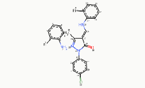 CCc1ccccc1N.CCc1ccccc1NC=C1C(=O)N(c2ccc(Cl)cc2)N=C1C